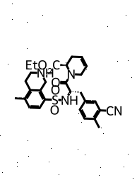 CCOC(=O)[C@H]1CC=CCN1C(=O)[C@H](Cc1ccc(C)c(C#N)c1)NS(=O)(=O)c1ccc(C)c2c1CNCC2